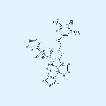 Cc1cc(OCCCc2c(C(=O)NS(=O)(=O)c3ccccc3)[nH]c3c(-c4ccsc4C)cccc23)cc(C)c1Cl